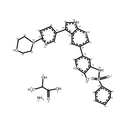 CC(O)C(=O)O.N.O=S(=O)(Nc1cc(-c2cnc3[nH]cc(-c4ccc(N5CCOCC5)nc4)c3c2)cnc1Cl)c1ccccc1